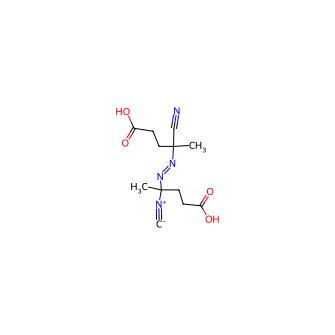 [C-]#[N+]C(C)(CCC(=O)O)/N=N/C(C)(C#N)CCC(=O)O